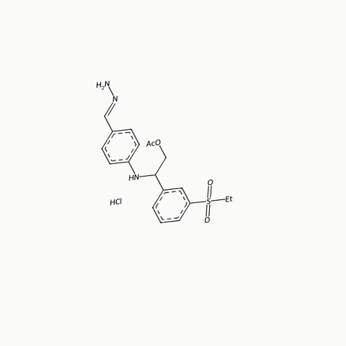 CCS(=O)(=O)c1cccc(C(COC(C)=O)Nc2ccc(C=NN)cc2)c1.Cl